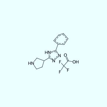 O=C(O)C(F)(F)F.c1ccc(-c2nnc(C3CCNC3)[nH]2)cc1